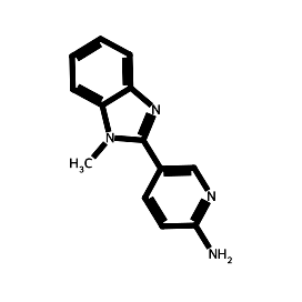 Cn1c(-c2ccc(N)nc2)nc2ccccc21